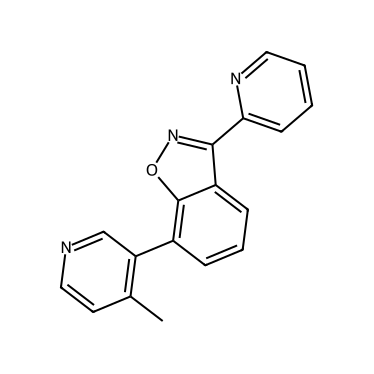 Cc1ccncc1-c1cccc2c(-c3ccccn3)noc12